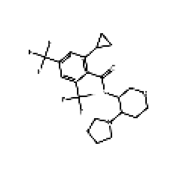 O=C(NC1COCCC1N1CCCC1)c1c(C2CC2)cc(C(F)(F)F)cc1C(F)(F)F